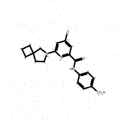 O=C(O)c1ccc(NC(=O)c2cc(Cl)cc(N3CCC4(CCC4)C3)n2)cc1